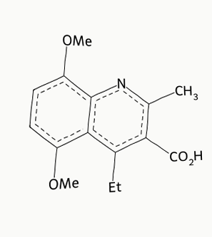 CCc1c(C(=O)O)c(C)nc2c(OC)ccc(OC)c12